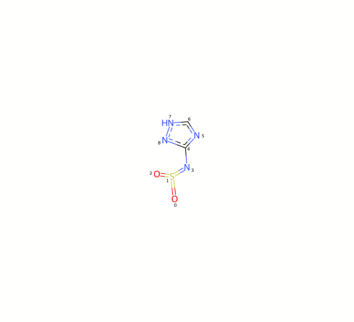 O=S(=O)=Nc1nc[nH]n1